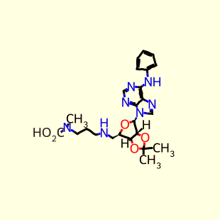 CN(CCCNC[C@H]1O[C@@H](n2cnc3c(Nc4ccccc4)ncnc32)[C@@H]2OC(C)(C)O[C@@H]21)C(=O)O